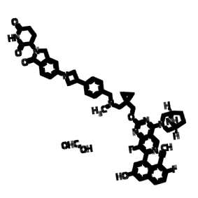 C#Cc1c(F)ccc2cc(O)cc(-c3ncc4c(N5C[C@H]6CC[C@@H](C5)N6)nc(OCC5(CN(C)Cc6ccc(C7CN(c8ccc9c(c8)CN(C8CCC(=O)NC8=O)C9=O)C7)cc6)CC5)nc4c3F)c12.O=CO